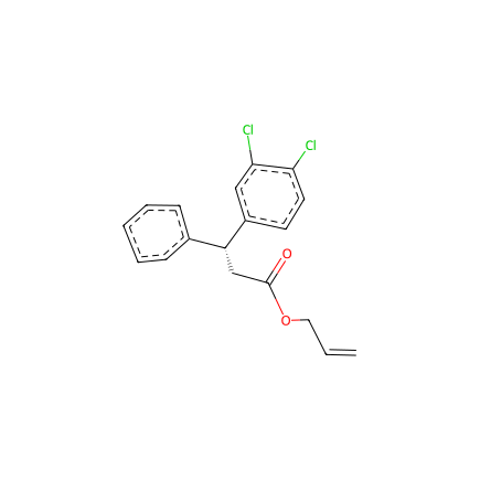 C=CCOC(=O)C[C@H](c1ccccc1)c1ccc(Cl)c(Cl)c1